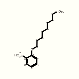 CCCCCCCCCCCCCCCCCCOc1ccccc1S(=O)(=O)O